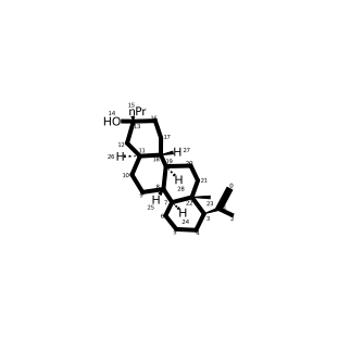 C=C(C)[C@H]1CCC[C@H]2[C@@H]3CC[C@H]4C[C@@](O)(CCC)CC[C@@H]4[C@H]3CC[C@]12C